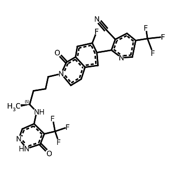 C[C@@H](CCCn1ccc2cc(-c3ncc(C(F)(F)F)cc3C#N)c(F)cc2c1=O)Nc1cn[nH]c(=O)c1C(F)(F)F